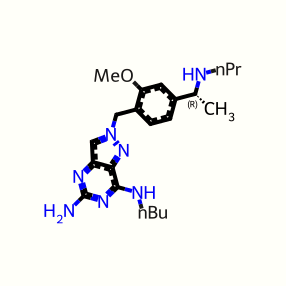 CCCCNc1nc(N)nc2cn(Cc3ccc([C@@H](C)NCCC)cc3OC)nc12